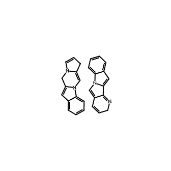 C1=CN2Cc3cc4ccccc4n3C=C2C1.C1=Cc2cn3c(cc4ccccc43)c2=NC1